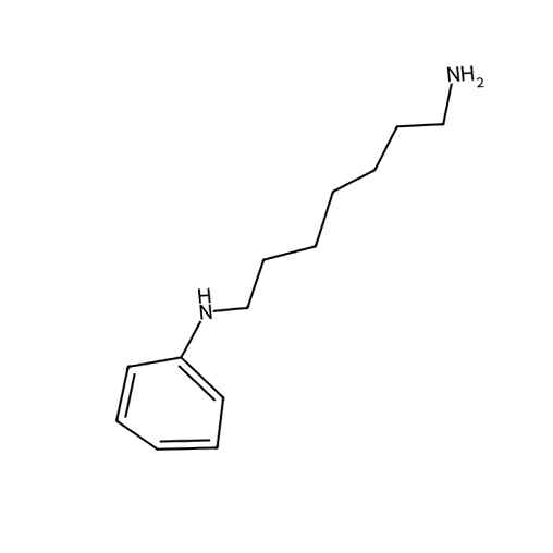 NCCCCCCCNc1ccccc1